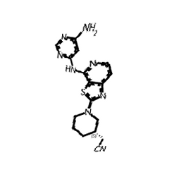 N#CC[C@@H]1CCCN(c2nc3ccnc(Nc4cc(N)ncn4)c3s2)C1